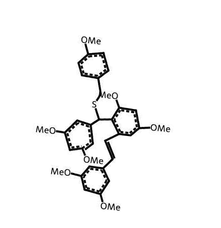 COc1ccc(CSC(c2cc(OC)cc(OC)c2)c2c(/C=C/c3cc(OC)cc(OC)c3)cc(OC)cc2OC)cc1